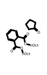 CCCCCCCCOC(=O)c1ccccc1C(=O)OCCCCCCCC.O=C1CCCC1